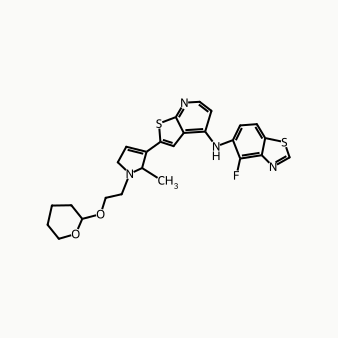 CC1C(c2cc3c(Nc4ccc5scnc5c4F)ccnc3s2)=CCN1CCOC1CCCCO1